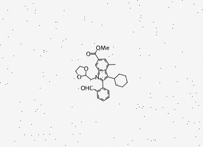 COC(=O)c1cc(C)c2c(C3CCCCC3)c(-c3ccccc3C=O)n(CC3OCCO3)c2c1